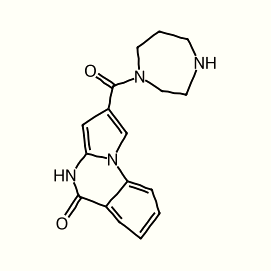 O=C(c1cc2[nH]c(=O)c3ccccc3n2c1)N1CCCNCC1